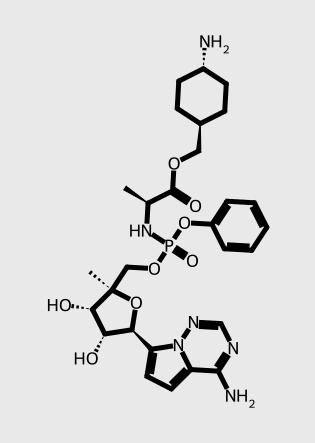 C[C@H](NP(=O)(OC[C@@]1(C)O[C@@H](c2ccc3c(N)ncnn23)[C@H](O)[C@@H]1O)Oc1ccccc1)C(=O)OC[C@H]1CC[C@H](N)CC1